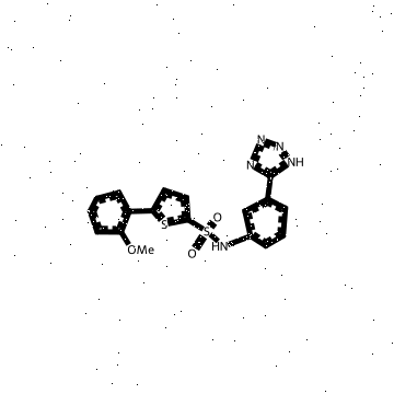 COc1ccccc1-c1ccc(S(=O)(=O)Nc2cccc(-c3nnn[nH]3)c2)s1